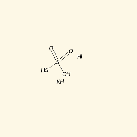 I.O=S(=O)(O)S.[KH]